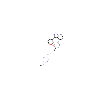 O=C1CC(c2cccc3[nH]cc(-c4ccccc4)c23)CC(=O)C1=CNCCN1CCN(CCO)CC1